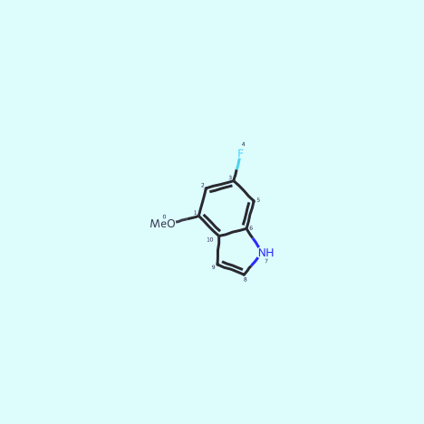 COc1cc(F)cc2[nH]ccc12